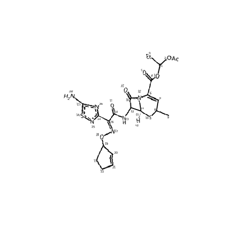 CCC(OC(C)=O)OC(=O)C1=CC(C)S[C@H]2C(NC(=O)C(=NOC3C=CCC3)c3nsc(N)n3)C(=O)N12